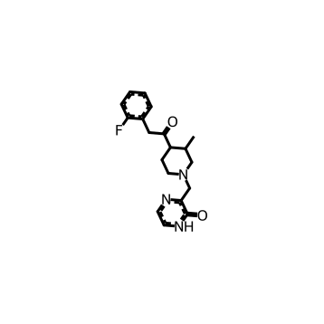 CC1CN(Cc2ncc[nH]c2=O)CCC1C(=O)Cc1ccccc1F